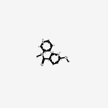 COc1ccc(C(=O)N(C)c2cccnc2)cn1